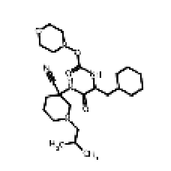 CC(C)CN1CCCC(C#N)(NC(=O)C(CC2CCCCC2)NC(=O)ON2CCOCC2)C1